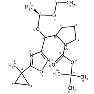 CCO[C@H](C)OC(c1noc(C2(C)CC2)n1)C1CCCN1C(=O)OC(C)(C)C